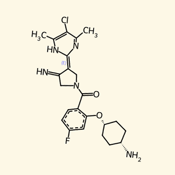 CC1=N/C(=C2\CN(C(=O)c3ccc(F)cc3O[C@H]3CC[C@@H](N)CC3)CC2=N)NC(C)=C1Cl